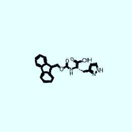 O=C(N[C@@H](Cc1cc[nH]n1)C(=O)O)OCC1c2ccccc2-c2ccccc21